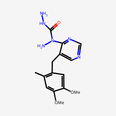 COc1cc(C)c(Cc2cncnc2N(N)C(=O)NN)cc1OC